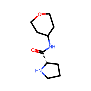 O=C(NC1CCOCC1)[C@@H]1CCCN1